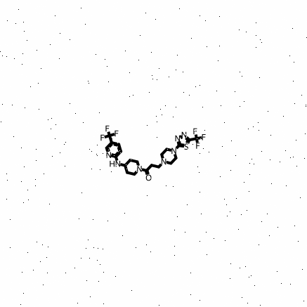 O=C(CCN1CCN(c2nnc(C(F)(F)F)s2)CC1)N1CCC(Nc2ccc(C(F)(F)F)cn2)CC1